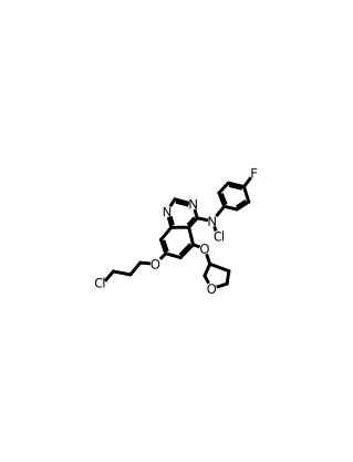 Fc1ccc(N(Cl)c2ncnc3cc(OCCCCl)cc(OC4CCOC4)c23)cc1